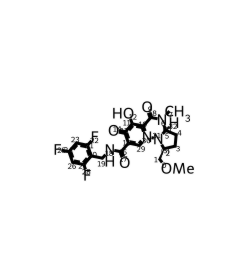 COC[C@@H]1CC[C@H]2N(C)C(=O)c3c(O)c(=O)c(C(=O)NCc4c(F)cc(F)cc4F)cn3N12